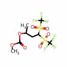 COC(=O)OC(C)CC(S(=O)(=O)C(F)(F)F)S(=O)(=O)C(F)(F)F